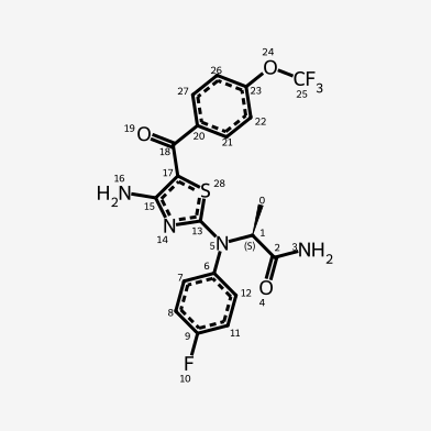 C[C@@H](C(N)=O)N(c1ccc(F)cc1)c1nc(N)c(C(=O)c2ccc(OC(F)(F)F)cc2)s1